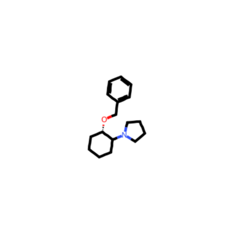 c1ccc(CO[C@H]2CCCCC2N2CCCC2)cc1